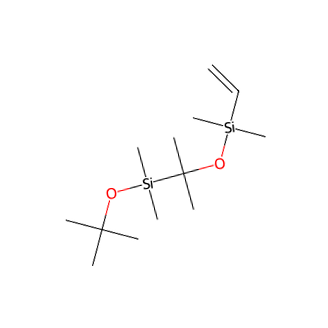 C=C[Si](C)(C)OC(C)(C)[Si](C)(C)OC(C)(C)C